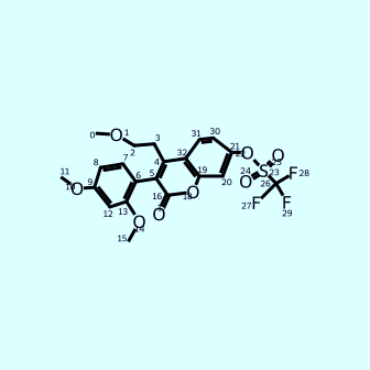 COCCc1c(-c2ccc(OC)cc2OC)c(=O)oc2cc(OS(=O)(=O)C(F)(F)F)ccc12